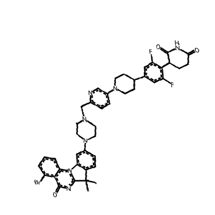 CC1(C)c2ccc(N3CCN(Cc4ccc(N5CCC(c6cc(F)c(C7CCC(=O)NC7=O)c(F)c6)CC5)cn4)CC3)cc2-n2c1nc(=O)c1c(Br)cccc12